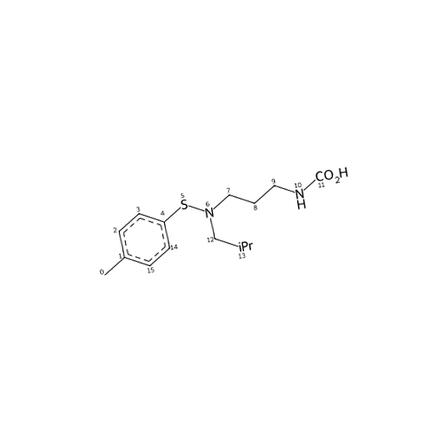 Cc1ccc(SN(CCCNC(=O)O)CC(C)C)cc1